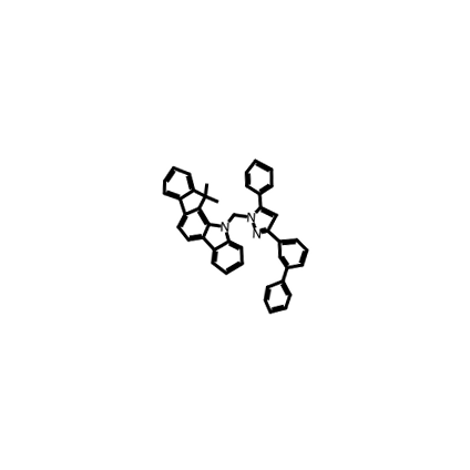 CC1(C)c2ccccc2-c2ccc3c4ccccc4n(Cn4nc(-c5cccc(-c6ccccc6)c5)cc4-c4ccccc4)c3c21